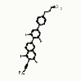 C=CCCc1ccc(-c2cc(F)c(-c3ccc4c(F)c(C#CC(F)(F)F)c(F)cc4c3)c(F)c2)cc1